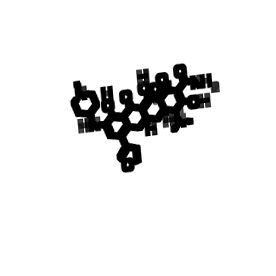 CN1CCC(Nc2cc(-c3ccoc3)c3c(c2O)C(=O)C2=C(O)[C@]4(O)C(=O)C(C(N)=O)=C(O)[C@@H](N(C)C)[C@@H]4C[C@@H]2C3)CC1